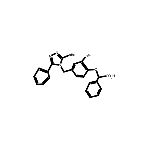 CCCCc1nnc(-c2ccccc2)n1Cc1ccc(OC(C(=O)O)c2ccccc2)c(CCC)c1